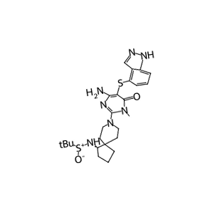 Cn1c(N2CCC3(CCC[C@H]3N[S+]([O-])C(C)(C)C)CC2)nc(N)c(Sc2cccc3[nH]ncc23)c1=O